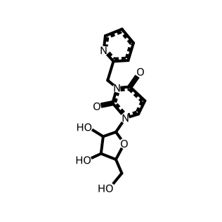 O=c1ccn(C2OC(CO)C(O)C2O)c(=O)n1Cc1ccccn1